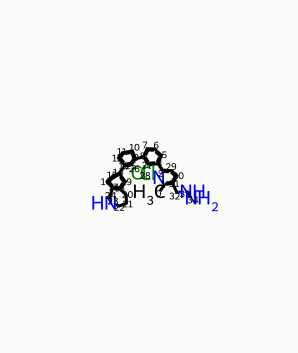 Cc1nc(-c2cccc(-c3cccc(-c4ccc5c(c4)CCCNC5)c3Cl)c2Cl)ccc1CNN